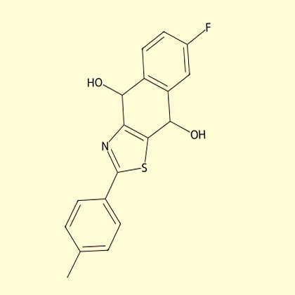 Cc1ccc(-c2nc3c(s2)C(O)c2cc(F)ccc2C3O)cc1